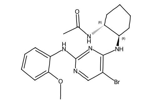 COc1ccccc1Nc1ncc(Br)c(N[C@@H]2CCCC[C@H]2NC(C)=O)n1